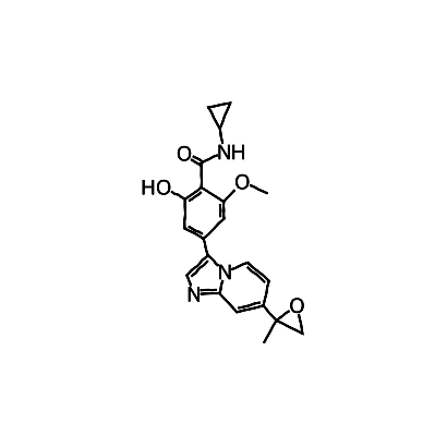 COc1cc(-c2cnc3cc(C4(C)CO4)ccn23)cc(O)c1C(=O)NC1CC1